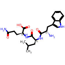 CC(C)C[C@H](NC(=O)[C@@H](N)Cc1c[nH]c2ccccc12)C(=O)N[C@@H](CCC(N)=O)C(=O)O